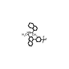 CC(N[C@H](C)c1cccc2ccccc12)c1cc(-c2ccc(C(F)(F)F)cc2)c2ccccc2c1